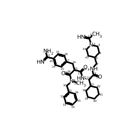 CC(=N)N1CCC(CNC(=O)[C@@H](NC(=O)C(Cc2ccc(C(=N)N)cc2)C(=O)N(C)Cc2ccccc2)C2CCCCC2)CC1